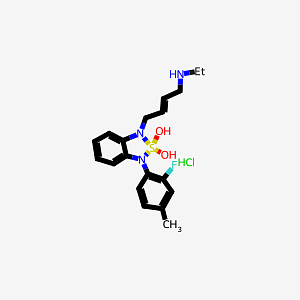 CCNCC=CCN1c2ccccc2N(c2ccc(C)cc2F)S1(O)O.Cl